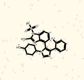 CC(C)S(=O)(=O)n1c(N)nc2c(-c3c(-c4ccccc4F)ncn3C3CCC(O)CC3)cccc21